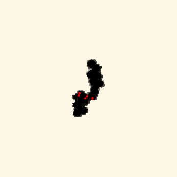 C[C@@H]1C=CC2=C(C1)N(c1cccc(-n3c4ccccc4c4ccccc43)c1)c1ccccc1C21c2ccccc2-c2cc(-c3cccc(-c4ccc(-n5c6ccccc6c6c(C7=CC=CC8(C)C7c7ccccc7N8c7cccc(-c8ccccc8)c7)cccc65)cc4)c3)ccc21